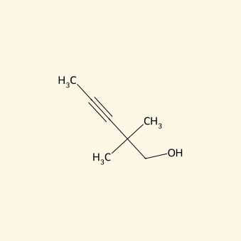 CC#CC(C)(C)CO